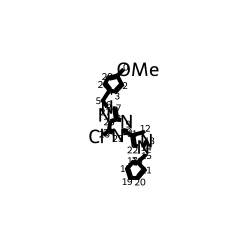 COc1ccc(Cn2cc3nc(-c4cnn(Cc5ccccc5)c4)nc(Cl)c3n2)cc1